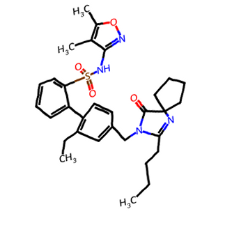 CCCCC1=NC2(CCCC2)C(=O)N1Cc1ccc(-c2ccccc2S(=O)(=O)Nc2noc(C)c2C)c(CC)c1